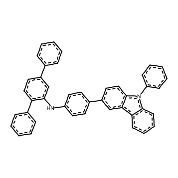 c1ccc(-c2ccc(-c3ccccc3)c(Nc3ccc(-c4ccc5c(c4)c4ccccc4n5-c4ccccc4)cc3)c2)cc1